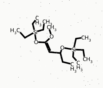 CCC(/C=C(\OC)O[Si](CC)(CC)CC)O[Si](CC)(CC)CC